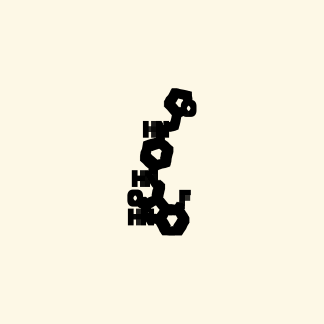 O=C1Nc2cccc(F)c2C1=CNc1ccc(NCC2CCCO2)cc1